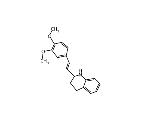 COc1ccc(C=CC2CCc3ccccc3N2)cc1OC